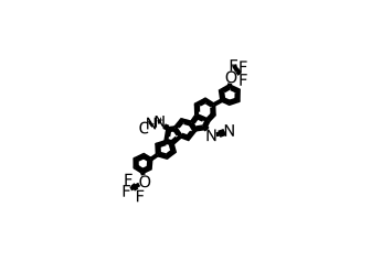 [C-]#[N+]/N=c1\c2cc(-c3cccc(OC(F)(F)F)c3)ccc2c2cc3/c(=N/C#N)c4cc(-c5cccc(OC(F)(F)F)c5)ccc4c3cc12